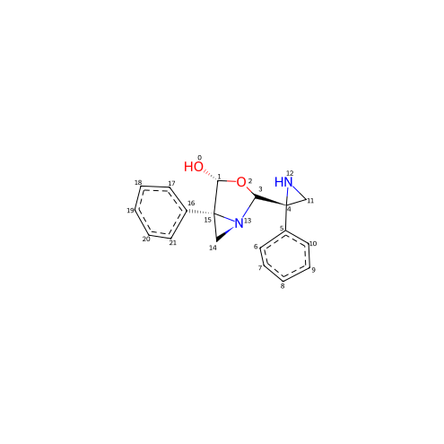 O[C@@H]1OC([C@]2(c3ccccc3)CN2)[N@@]2C[C@@]12c1ccccc1